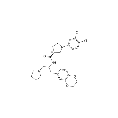 O=C(NC(Cc1ccc2c(c1)OCCO2)CN1CCCC1)[C@H]1CCN(c2ccc(Cl)c(Cl)c2)C1